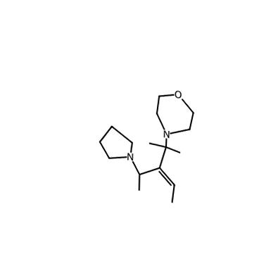 CC=C(C(C)N1CCCC1)C(C)(C)N1CCOCC1